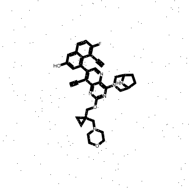 C#Cc1c(-c2cc(O)cc3ccc(F)c(C#C)c23)cnc2c(N3CC4CCC(C3)N4)nc(OCC3(CN4CCOCC4)CC3)nc12